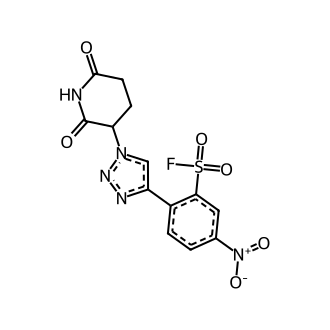 O=C1CCC(n2cc(-c3ccc([N+](=O)[O-])cc3S(=O)(=O)F)nn2)C(=O)N1